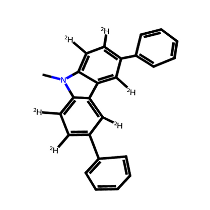 [2H]c1c(-c2ccccc2)c([2H])c2c3c([2H])c(-c4ccccc4)c([2H])c([2H])c3n(C)c2c1[2H]